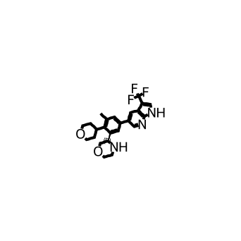 Cc1cc(-c2cnc3[nH]cc(C(F)(F)F)c3c2)cc([C@@H]2COCCN2)c1C1CCOCC1